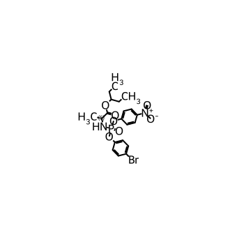 CCC(CC)OC(=O)[C@H](C)NP(=O)(Oc1ccc(Br)cc1)Oc1ccc([N+](=O)[O-])cc1